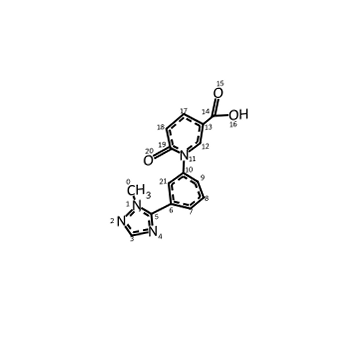 Cn1ncnc1-c1cccc(-n2cc(C(=O)O)ccc2=O)c1